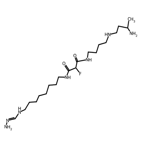 CC(N)CCNCCCCNC(=O)C(F)C(=O)NCCCCCCCCNC=NN